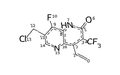 C=Cc1c(C(F)(F)F)c(=O)[nH]c2c(F)c(CCl)cnc12